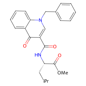 COC(=O)[C@H](CC(C)C)NC(=O)c1cn(Cc2ccccc2)c2ccccc2c1=O